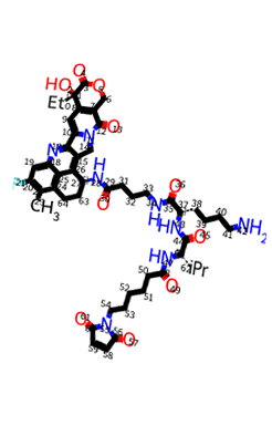 CC[C@@]1(O)C(=O)OCc2c1cc1n(c2=O)Cc2c-1nc1cc(F)c(C)c3c1c2[C@@H](NC(=O)CCCNC(=O)[C@H](CCCCN)NC(=O)[C@@H](NC(=O)CCCCCN1C(=O)C=CC1=O)C(C)C)CC3